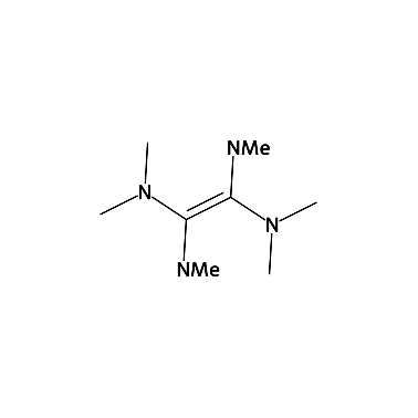 CNC(=C(NC)N(C)C)N(C)C